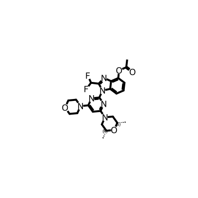 CC(=O)Oc1cccc2c1nc(C(F)F)n2-c1nc(N2CCOCC2)cc(N2C[C@@H](C)O[C@@H](C)C2)n1